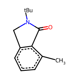 Cc1cccc2c1C(=O)N(C(C)(C)C)C2